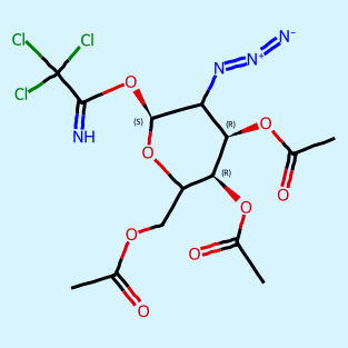 CC(=O)OCC1O[C@@H](OC(=N)C(Cl)(Cl)Cl)C(N=[N+]=[N-])[C@@H](OC(C)=O)[C@H]1OC(C)=O